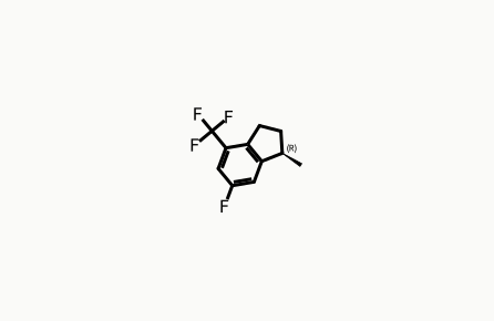 C[C@@H]1CCc2c1cc(F)cc2C(F)(F)F